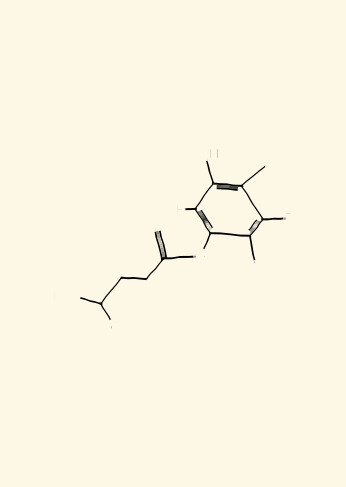 Cc1c(F)c(F)c(F)c(OC(=O)CCC(C)C)c1F